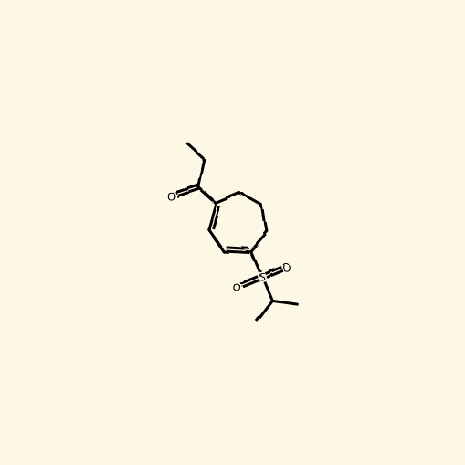 CCC(=O)C1=CC=C(S(=O)(=O)C(C)C)CCC1